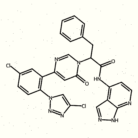 O=C(Nc1ccnc2[nH]ncc12)C(Cc1ccccc1)n1cnc(-c2cc(Cl)ccc2-n2cc(Cl)nn2)cc1=O